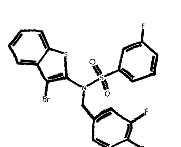 O=S(=O)(c1cccc(F)c1)N(Cc1ccc(F)c(F)c1)c1sc2ccccc2c1Br